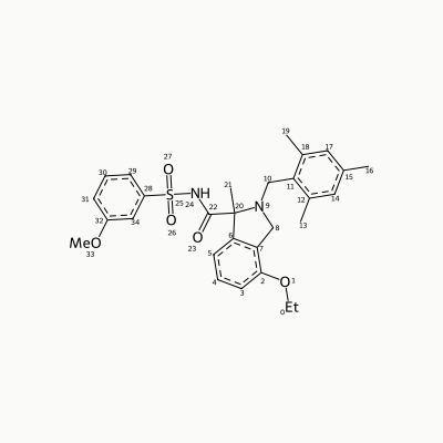 CCOc1cccc2c1CN(Cc1c(C)cc(C)cc1C)C2(C)C(=O)NS(=O)(=O)c1cccc(OC)c1